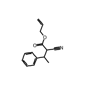 C=CCOC(=O)C(C#N)C(C)c1ccccc1